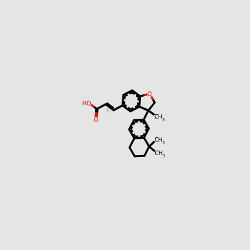 CC1(C)CCCc2ccc(C3(C)COc4ccc(/C=C/C(=O)O)cc43)cc21